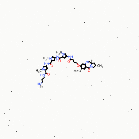 C=C1C[C@H]2C=Nc3cc(OCCCC(=O)Nc4cc(C(=O)Nc5cc(C(=O)Nc6cc(C(=O)NCCCNCC)n(C)c6)n(C)c5)n(C)c4)c(OC)cc3C(=O)N2C1